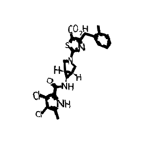 Cc1ccccc1Cc1nc(N2C[C@@H]3[C@H](C2)[C@H]3NC(=O)c2[nH]c(C)c(Cl)c2Cl)sc1C(=O)O